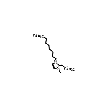 CCCCCCCCCCCCCCCCCN1C=CN(C)C1CCCCCCCCCCC